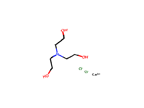 OCCN(CCO)CCO.[Ca+2].[Cl-].[Cl-]